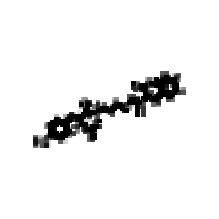 CC(=O)NC(Cc1ccc(O)cc1)C(=O)NCCCOCNC(Cc1ccccc1)C(N)=O